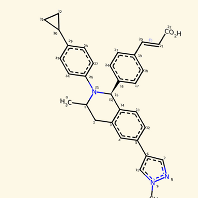 CC1Cc2cc(-c3cnn(C)c3)ccc2[C@H](c2ccc(/C=C/C(=O)O)cc2)N1c1ccc(C2CC2)cc1